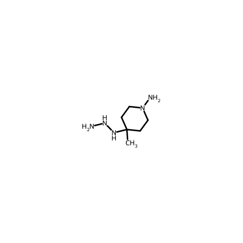 CC1(NNN)CCN(N)CC1